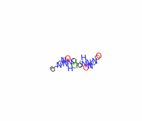 Cc1c(NC(=O)c2nc3c(n2C)CCN(C2CCOCC2)C3)cccc1-c1cccc(NC(=O)c2nc3c(n2C)CCN(CCC24CCC(CC2)C4)C3)c1Cl